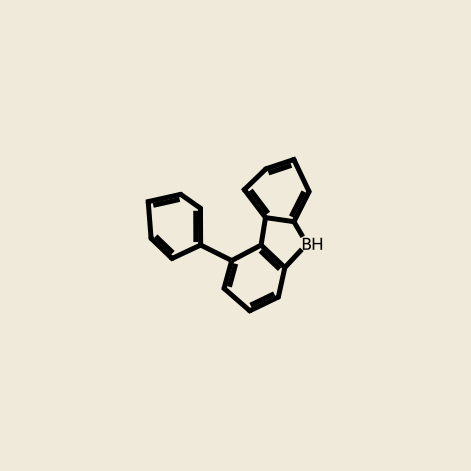 B1c2ccccc2-c2c1cccc2-c1ccccc1